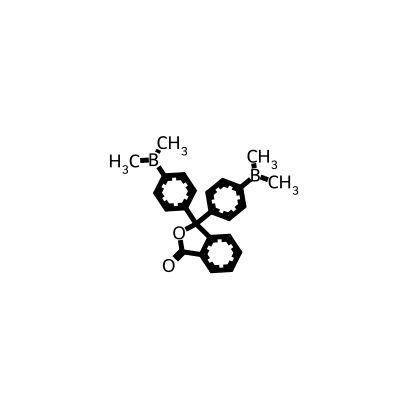 CB(C)c1ccc(C2(c3ccc(B(C)C)cc3)OC(=O)c3ccccc32)cc1